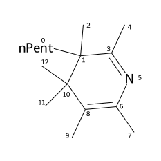 CCCCCC1(C)C(C)=NC(C)=C(C)C1(C)C